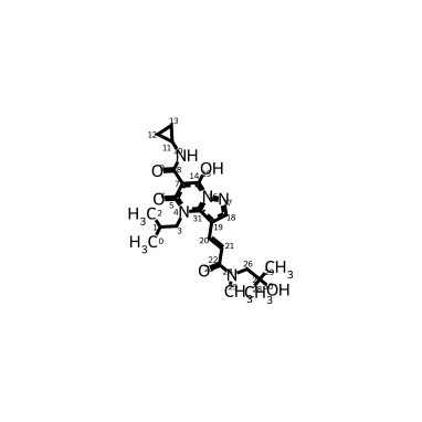 CC(C)Cn1c(=O)c(C(=O)NC2CC2)c(O)n2ncc(C=CC(=O)N(C)CC(C)(C)O)c12